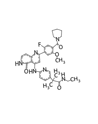 CCNC(=O)C(C)(C)c1ccc(Nc2cc(-c3cc(OC)c(C(=O)N4CCCCC4)cc3F)nc3cc[nH]c(=O)c23)nc1